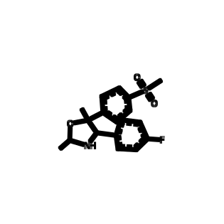 CC1NC(c2ccc(F)cc2)C(C)(c2ccc(S(C)(=O)=O)cc2)O1